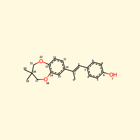 CC(=Cc1ccc(O)cc1)c1ccc2c(c1)OCC(C)(C)CO2